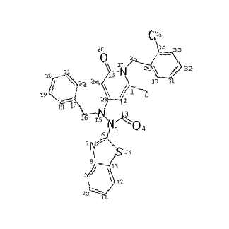 Cc1c2c(=O)n(-c3nc4ccccc4s3)n(Cc3ccccc3)c2cc(=O)n1Cc1ccccc1Cl